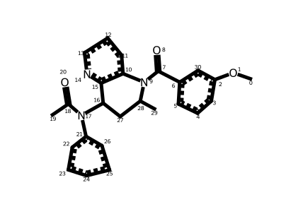 COc1cccc(C(=O)N2c3cccnc3C(N(C(C)=O)c3ccccc3)CC2C)c1